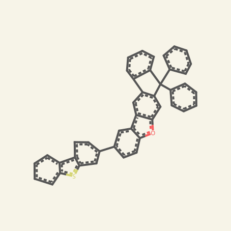 c1ccc(C2(c3ccccc3)c3ccccc3-c3cc4c(cc32)oc2ccc(-c3ccc5c(c3)sc3ccccc35)cc24)cc1